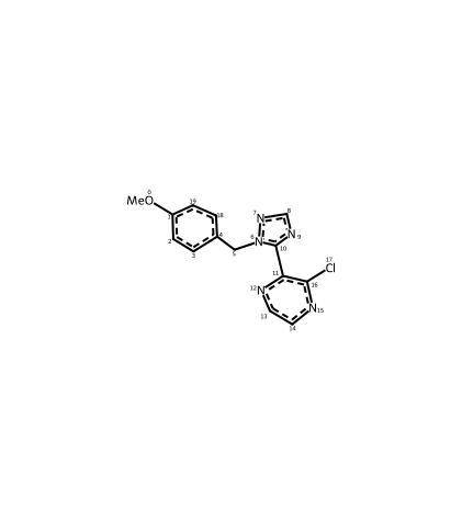 COc1ccc(Cn2ncnc2-c2nccnc2Cl)cc1